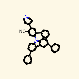 N#Cc1cc(-n2c3ccc(-c4ccccc4)cc3c3cc(-c4ccccc4)ccc32)c(-c2ccccc2)cc1-c1ccncc1